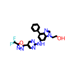 OCCn1cnc2c(-c3ccccc3)cc(Nc3ncc(-c4nnc(C(F)F)o4)cn3)cc21